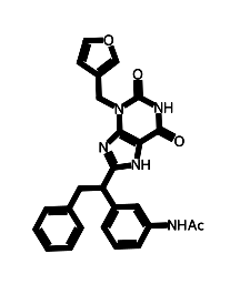 CC(=O)Nc1cccc(C(Cc2ccccc2)c2nc3c([nH]2)c(=O)[nH]c(=O)n3Cc2ccoc2)c1